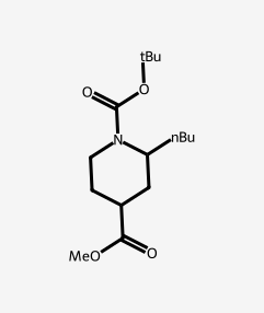 CCCCC1CC(C(=O)OC)CCN1C(=O)OC(C)(C)C